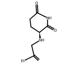 C=C(CC)CN[C@H]1CCC(=O)NC1=O